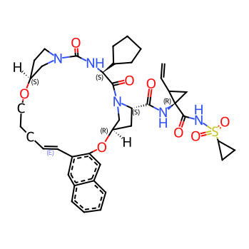 C=CC1C[C@]1(NC(=O)[C@@H]1C[C@@H]2CN1C(=O)[C@H](C1CCCC1)NC(=O)N1CC[C@@H](C1)OCCC/C=C/c1cc3ccccc3cc1O2)C(=O)NS(=O)(=O)C1CC1